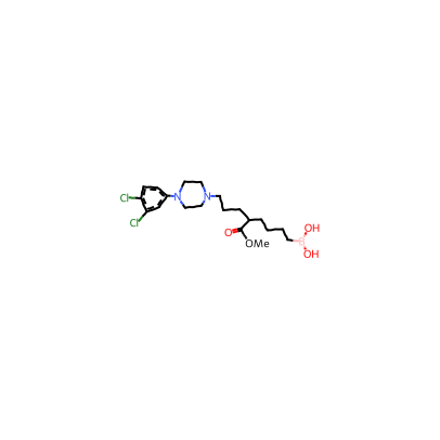 COC(=O)C(CCCCB(O)O)CCCN1CCN(c2ccc(Cl)c(Cl)c2)CC1